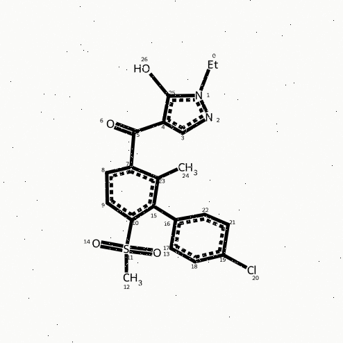 CCn1ncc(C(=O)c2ccc(S(C)(=O)=O)c(-c3ccc(Cl)cc3)c2C)c1O